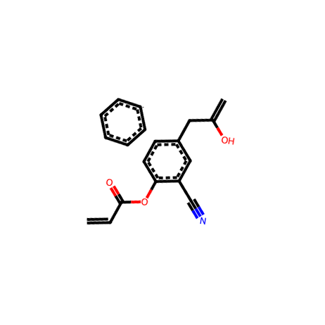 C=CC(=O)Oc1ccc(CC(=C)O)cc1C#N.[c]1ccccc1